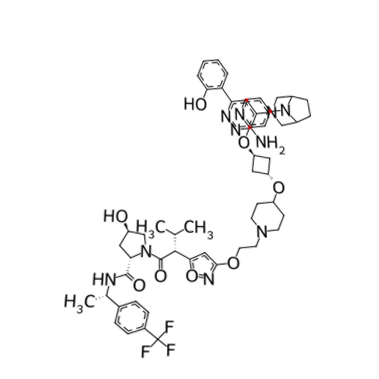 CC(C)[C@@H](C(=O)N1C[C@H](O)C[C@H]1C(=O)N[C@@H](C)c1ccc(C(F)(F)F)cc1)c1cc(OCCN2CCC(O[C@H]3C[C@H](Oc4cc(N5C6CCC5CN(c5cc(-c7ccccc7O)nnc5N)C6)ccn4)C3)CC2)no1